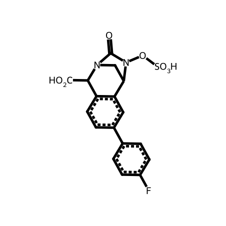 O=C(O)C1c2ccc(-c3ccc(F)cc3)cc2C2CN1C(=O)N2OS(=O)(=O)O